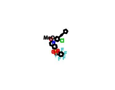 COc1cc(C#CC2CCCC2)c(Cl)cc1-n1c(=O)ccc2cc(S(=O)(=O)Oc3c(F)c(F)c(F)c(F)c3F)ccc21